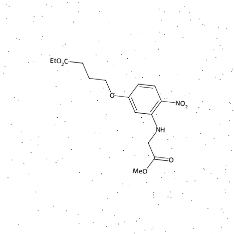 CCOC(=O)CCCOc1ccc([N+](=O)[O-])c(NCC(=O)OC)c1